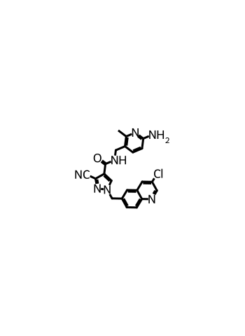 Cc1nc(N)ccc1CNC(=O)c1cn(Cc2ccc3ncc(Cl)cc3c2)nc1C#N